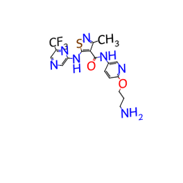 Cc1nsc(Nc2cncc(C(F)(F)F)n2)c1C(=O)Nc1ccc(OCCCN)nc1